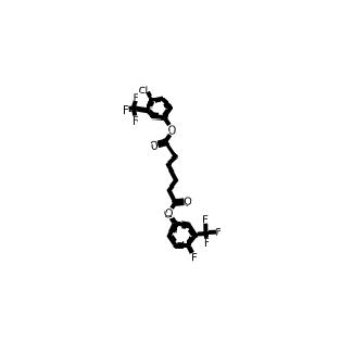 O=C(CCCCC(=O)Oc1ccc(Cl)c(C(F)(F)F)c1)Oc1ccc(F)c(C(F)(F)F)c1